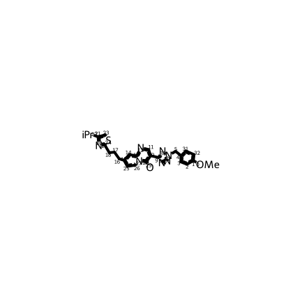 COc1ccc(Cn2nnc(-c3cnc4cc(CCCc5nc(C(C)C)cs5)ccn4c3=O)n2)cc1